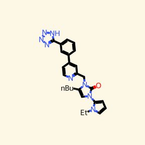 CCCCc1cn(-c2cccn2CC)c(=O)n1Cc1cc(-c2cccc(-c3nnn[nH]3)c2)ccn1